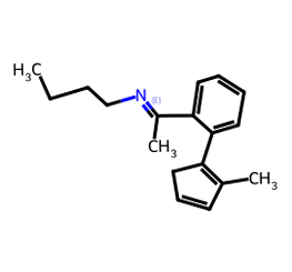 CCCC/N=C(\C)c1ccccc1C1=C(C)C=CC1